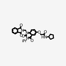 CC(C)n1c(=O)c2cc(OCC(=O)NC3CCCC3)ccc2n(CN2C(=O)c3ccccc3C2=O)c1=O